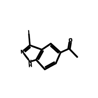 CC(=O)c1ccc2[nH]nc(I)c2c1